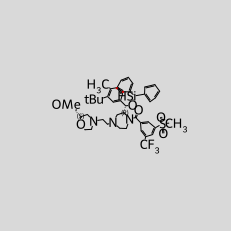 COC[C@@H]1CN(CCN2CCN(C(=O)c3cc(C(F)(F)F)cc(S(C)(=O)=O)c3)[C@@H](C(O[SiH](c3ccccc3)c3ccccc3)c3ccc(C)c(C(C)(C)C)c3)C2)CCO1